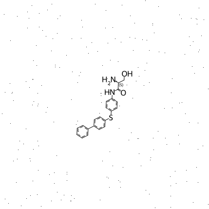 N[C@@H](CO)C(=O)Nc1ccc(Sc2ccc(-c3ccccc3)cc2)cc1